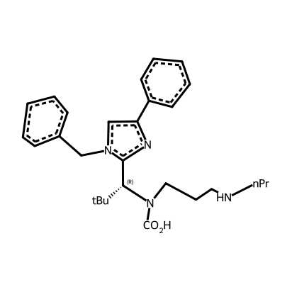 CCCNCCCN(C(=O)O)[C@@H](c1nc(-c2ccccc2)cn1Cc1ccccc1)C(C)(C)C